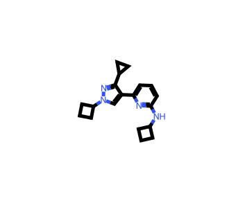 c1cc(NC2CCC2)nc(-c2cn(C3CCC3)nc2C2CC2)c1